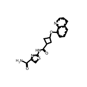 NC(=O)c1csc(NC(=O)C2CC(Oc3cccc4cccnc34)C2)n1